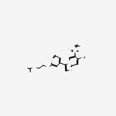 COc1cc2ncc(-c3cc(F)nc(NCCOC(F)F)c3)n2cc1S(=O)(=O)C(C)(C)C